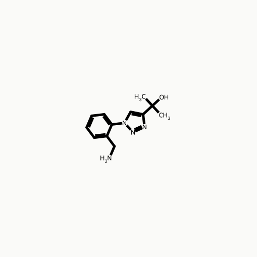 CC(C)(O)c1cn(-c2ccccc2CN)nn1